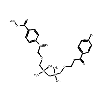 COOC(=O)c1cc[c]([Co](=[O])[CH2]OC[Si](C)(C)O[Si](C)(C)COCOC(=O)c2ccc(C(C)=O)cc2)cc1